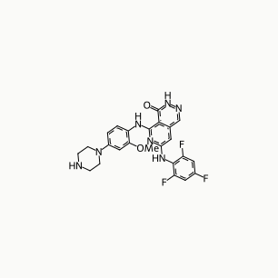 COc1cc(N2CCNCC2)ccc1Nc1nc(Nc2c(F)cc(F)cc2F)cc2cn[nH]c(=O)c12